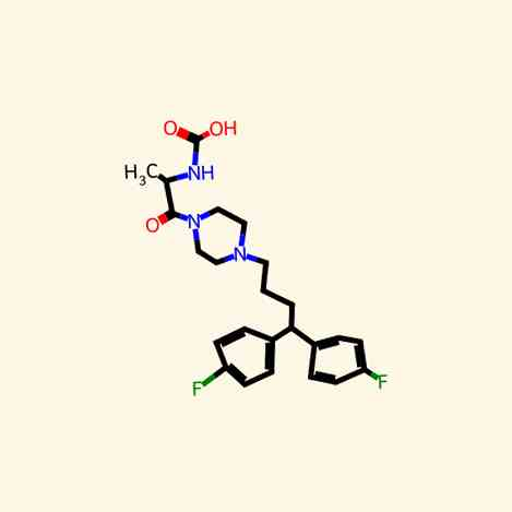 CC(NC(=O)O)C(=O)N1CCN(CCCC(c2ccc(F)cc2)c2ccc(F)cc2)CC1